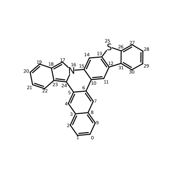 c1ccc2cc3c(cc2c1)c1cc2c(cc1n1cc4ccccc4c31)sc1ccccc12